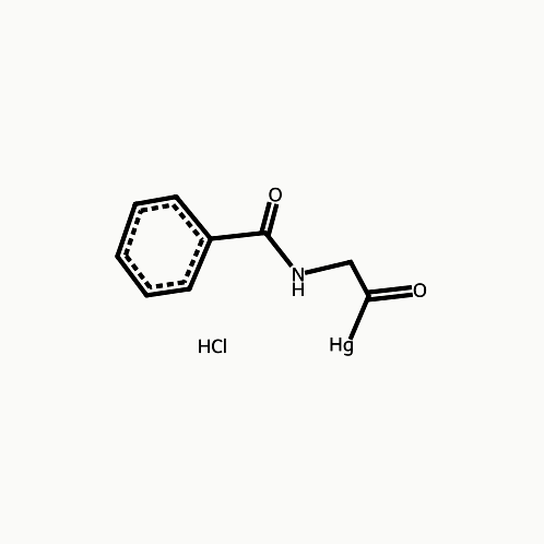 Cl.O=[C]([Hg])CNC(=O)c1ccccc1